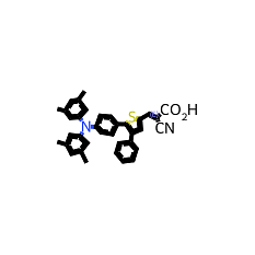 Cc1cc(C)cc(N(c2ccc(-c3sc(/C=C(\C#N)C(=O)O)cc3-c3ccccc3)cc2)c2cc(C)cc(C)c2)c1